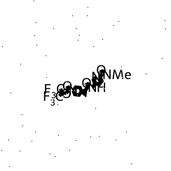 CNC(=O)c1ccc(NC(=O)C2CC23CCN(C(=O)OC(C(F)(F)F)C(F)(F)F)CC3)cn1